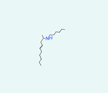 CCCCCC=CCC(C)NCCCCCC